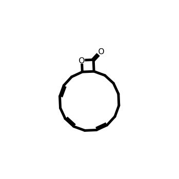 O=C1OC2C/C=C\C/C=C\C/C=C\CCCCCC12